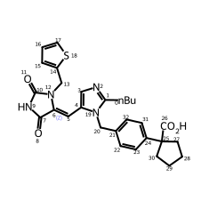 CCCCc1ncc(/C=C2/C(=O)NC(=O)N2Cc2cccs2)n1Cc1ccc(C2(C(=O)O)CCCC2)cc1